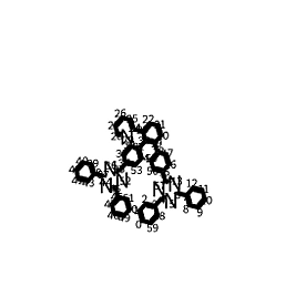 c1ccc(-c2nc(-c3ccccc3)nc(-c3ccc(-c4cccc(-c5ccccn5)c4-c4ccc(-c5nc(-c6ccccc6)nc(-c6ccccc6)n5)cc4)cc3)n2)cc1